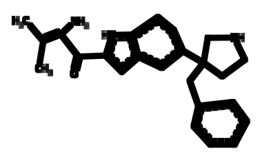 CC(C)=C(N)C(=O)c1cc2cc(C3(Cc4ccccc4)CCNC3)ccc2[nH]1